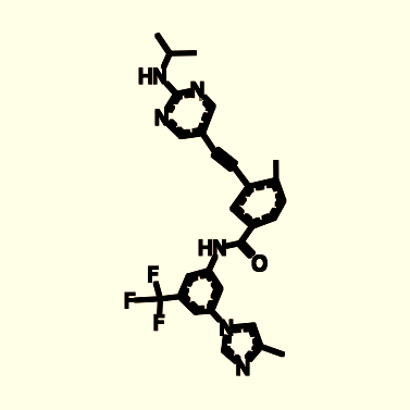 Cc1cn(-c2cc(NC(=O)c3ccc(C)c(C#Cc4cnc(NC(C)C)nc4)c3)cc(C(F)(F)F)c2)cn1